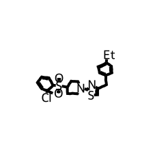 CCc1ccc(Cc2csc(N3CCC(S(=O)(=O)C4C=CC=CC4(C)Cl)CC3)n2)cc1